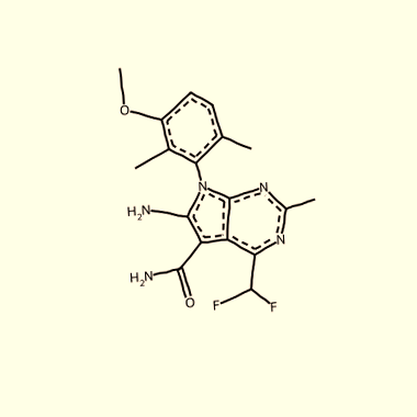 COc1ccc(C)c(-n2c(N)c(C(N)=O)c3c(C(F)F)nc(C)nc32)c1C